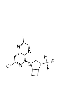 Cc1cnc2c([C@H]3CC(C(F)(F)F)C4CCC43)nc(Cl)cc2n1